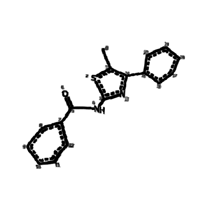 Cc1sc(NC(=O)c2ccccc2)nc1-c1ccccc1